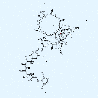 CC[C@H](C)[C@@H]1CC(=O)CNC(=O)[C@@H]2Cc3c([nH]c4ccccc34)SCC(NC(=O)CNC1=O)C(=O)N[C@@H](CC(=O)NCc1ccc(NC(=O)[C@H](C)NC(=O)C(NC(=O)CCN3C(=O)C=CC3=O)C(C)C)cc1)C(=O)N1C[C@H](O)C[C@H]1C(=O)N[C@@H]([C@@H](C)[C@@H](O)CO)C(=O)N2